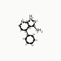 Nc1n[nH]c2nccc(-c3ccccc3)c12